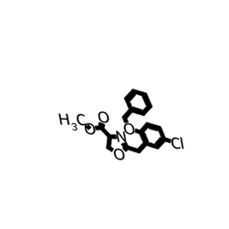 COC(=O)C1COC(Cc2cc(Cl)ccc2OCc2ccccc2)=N1